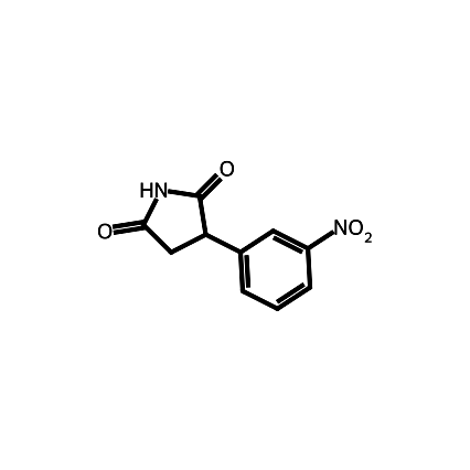 O=C1CC(c2cccc([N+](=O)[O-])c2)C(=O)N1